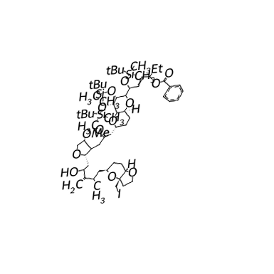 C=C(C(C)C[C@H]1CC[C@@H]2OCC[C@]2(CI)O1)C(O)C[C@@H]1OC[C@H](OC)C1CC(=O)C[C@H]1CC[C@@H]2OC(C(/C=C/C(CC)OC(=O)c3ccccc3)O[Si](C)(C)C(C)(C)C)[C@@H](O[Si](C)(C)C(C)(C)C)[C@@H](O[Si](C)(C)C(C)(C)C)C2O1